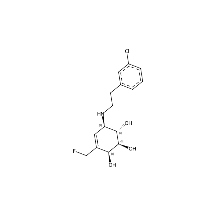 O[C@@H]1[C@@H](O)[C@@H](O)C(CF)=C[C@H]1NCCc1cccc(Cl)c1